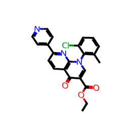 CCOC(=O)c1cn(-c2c(C)cccc2Cl)c2nc(-c3ccncc3)ccc2c1=O